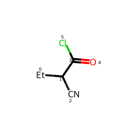 CCC(C#N)C(=O)Cl